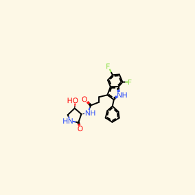 O=C(CCc1c(-c2ccccc2)[nH]c2c(F)cc(F)cc12)N[C@@H]1C(=O)NC[C@H]1O